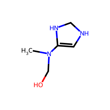 CN(CO)C1=CNCN1